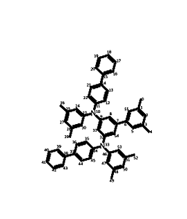 Cc1cc(C)cc(-c2cc(N(c3ccc(-c4ccccc4)cc3)c3cc(C)cc(C)c3)cc(N(c3ccc(-c4ccccc4)cc3)c3cc(C)cc(C)c3)c2)c1